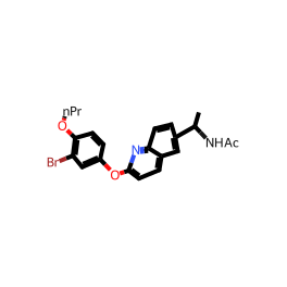 CCCOc1ccc(Oc2ccc3cc(C(C)NC(C)=O)ccc3n2)cc1Br